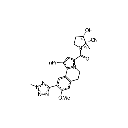 CCCc1cc(C(=O)N2CC[C@H](O)[C@]2(C)C#N)n2c1-c1cc(-c3nnn(C)n3)c(OC)cc1CC2